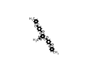 Cc1ccc(OC(=O)C2CCC(C(=O)Oc3ccc(OC(=O)C4CCC(C(=O)Oc5ccc(C)cc5)CC4)c4sc(C)nc34)CC2)cc1